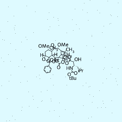 CO[C@H]1C(=O)[C@]2(C)[C@@H](OC)C[C@H]3OC[C@@]3(OC(C)=O)[C@H]2[C@H](OC(=O)c2ccccc2)[C@]23OC(=O)O[C@H]2[C@H](OC(=O)[C@H](O)[C@H](CC(C)C)NC(=O)OC(C)(C)C)C(C)=C1C3(C)C